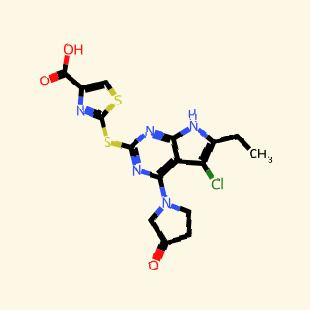 CCc1[nH]c2nc(Sc3nc(C(=O)O)cs3)nc(N3CCC(=O)C3)c2c1Cl